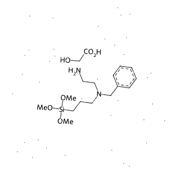 CO[Si](CCCN(CCN)Cc1ccccc1)(OC)OC.O=C(O)CO